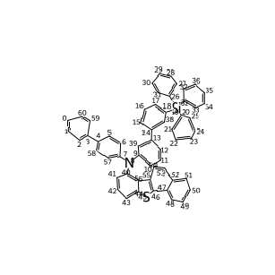 c1ccc(-c2ccc(N(c3cccc(-c4cccc([Si](c5ccccc5)(c5ccccc5)c5ccccc5)c4)c3)c3cccc4sc5c6ccccc6ccc5c34)cc2)cc1